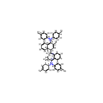 CC1=CCC(N(/C(=c2\cccc\c2=C(\C)C2C=C(C)C(N(c3ccc(C)cc3)c3ccc(C)cc3)=C3C=CC=CC32C)C(C)C)c2ccc(C)cc2)C=C1